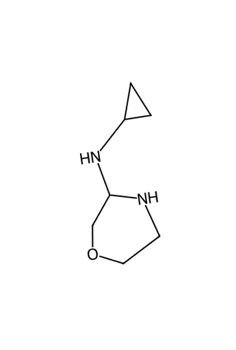 C1COCC(NC2CC2)N1